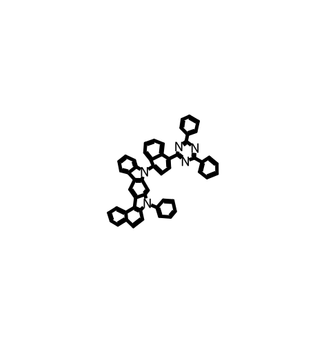 c1ccc(-c2nc(-c3ccccc3)nc(-c3ccc(-n4c5ccccc5c5cc6c7c8ccccc8ccc7n(-c7ccccc7)c6cc54)c4ccccc34)n2)cc1